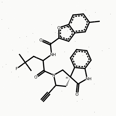 C#CC1C[C@@]2(CN1C(=O)C(CC(C)(C)F)NC(=O)c1cc3cc(C)ccc3o1)C(=O)Nc1ccccc12